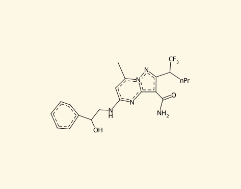 CCCC(c1nn2c(C)cc(NCC(O)c3ccccc3)nc2c1C(N)=O)C(F)(F)F